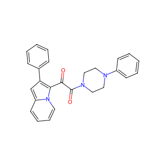 O=C(C(=O)N1CCN(c2ccccc2)CC1)c1c(-c2ccccc2)cc2ccccn12